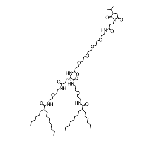 CCCCCCCCC(CCCCCC)C(=O)NCCOCCNC(=O)CC[C@H](NC(=O)CCOCCOCCOCCOCCNC(=O)CCN1C(=O)CC(C(C)C)C1=O)C(=O)NCCOCCNC(=O)C(CCCCCC)CCCCCCCC